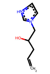 C=CCC(O)C[n+]1cc[nH]c1